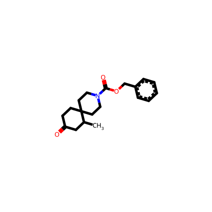 CC1CC(=O)CCC12CCN(C(=O)OCc1ccccc1)CC2